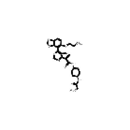 COCCOc1ccc2c(c1-c1ncnc3c(C(=O)N[C@H]4CC[C@H](NC(=O)COC)CC4)c[nH]c13)OCO2